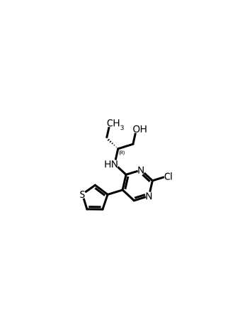 CC[C@H](CO)Nc1nc(Cl)ncc1-c1ccsc1